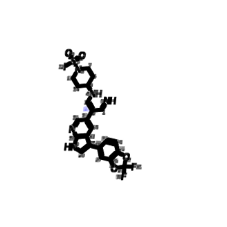 N=C/C(=C\NC1CCN(S(=O)(=O)I)CC1)c1cnc2[nH]cc(-c3c#cc4c(c3)OC(F)(F)O4)c2c1